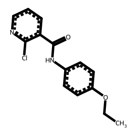 CCOc1ccc(NC(=O)c2cccnc2Cl)cc1